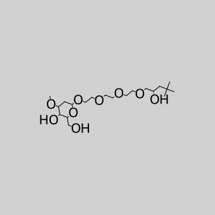 COC1CC(OCCOCCOCCOC[C@@H](O)CC(C)(C)C)OC(CO)C1O